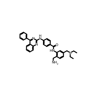 CCN(CC)Cc1ccc(CN)c(NC(=O)c2ccc(Nc3nc(-c4ccccc4)c4ccccc4n3)cc2)c1